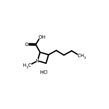 CCCCC1CN(C)C1C(=O)O.Cl